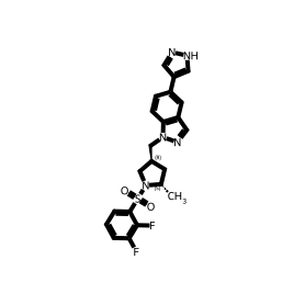 C[C@H]1C[C@H](Cn2ncc3cc(-c4cn[nH]c4)ccc32)CN1S(=O)(=O)c1cccc(F)c1F